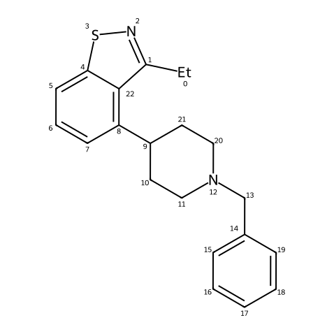 CCc1nsc2cccc(C3CCN(Cc4ccccc4)CC3)c12